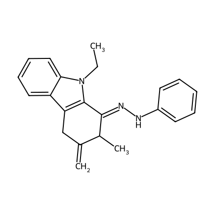 C=C1Cc2c(n(CC)c3ccccc23)C(=NNc2ccccc2)C1C